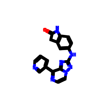 O=C1Cc2cc(Nc3nc4c(-c5cccnc5)nccn4n3)ccc2N1